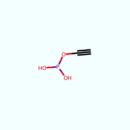 C#COP(O)O